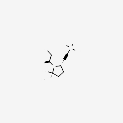 C[C@@]1(C(=O)O)CC[C@H](C#C[Si](C)(C)C)N1C(=O)CCl